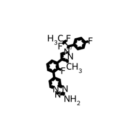 Cc1nn([C@H](c2ccc(F)cc2)C(C)(F)F)cc1-c1cccc(-c2ccn3nc(N)nc3c2)c1F